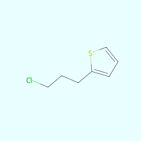 ClCCCc1cccs1